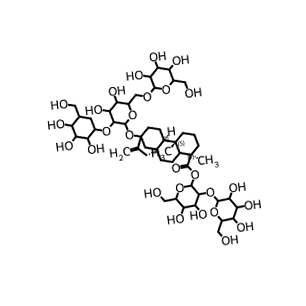 C=C1C[C@@]23CCC4[C@](C)(C(=O)OC5OC(CO)C(O)C(O)C5OC5OC(CO)C(O)C(O)C5O)CCC[C@@]4(C)[C@@H]2CCC1(OC1OC(COC2OC(CO)C(O)C(O)C2O)C(O)C(O)C1OC1CC(CO)C(O)C(O)C1O)C3